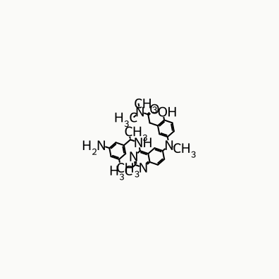 Cc1cc(N)cc([C@@H](C)Nc2nc(C)nc3ccc(N(C)c4ccc(O)c(CC(=O)N(C)C)c4)cc23)c1